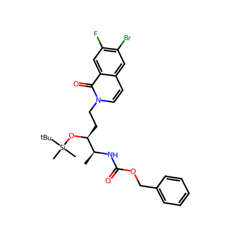 C[C@H](NC(=O)OCc1ccccc1)[C@H](CCn1ccc2cc(Br)c(F)cc2c1=O)O[Si](C)(C)C(C)(C)C